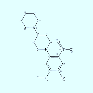 COc1cc(N2CCC(N3CCCCC3)CC2)c([N+](=O)[O-])cc1Br